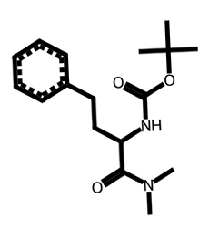 CN(C)C(=O)C(CCc1ccccc1)NC(=O)OC(C)(C)C